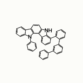 c1ccc(-c2cccc(-c3ccccc3-c3cccc4c3[nH]c3ccc5c6ccccc6n(-c6ccccc6)c5c34)c2)cc1